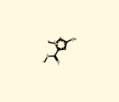 COC(=O)c1cc(O)cn1C